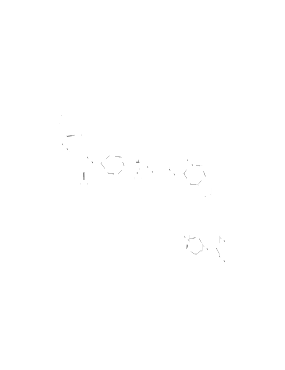 CC(C)(C)OC(=O)N[C@@H]1CC(=O)N(c2ccc(S(=O)(=O)N3CCN(c4cc(C(F)(F)C5CCC(NC(=N)n6ccnc6)CC5)cc(Cl)n4)CC3)cc2)C1